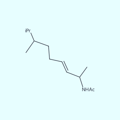 CC(=O)NC(C)C=CCCC(C)C(C)C